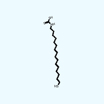 S=C(S)NCCCCCCCCCCCCCCCCS